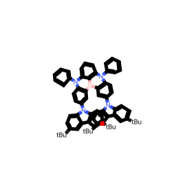 CC(C)(C)c1ccc2c(c1)c1cc(C(C)(C)C)ccc1n2-c1ccc2c(c1)B1c3cc(-n4c5ccc(C(C)(C)C)cc5c5cc(C(C)(C)C)ccc54)ccc3N(c3ccccc3)c3cccc(c31)N2c1ccccc1